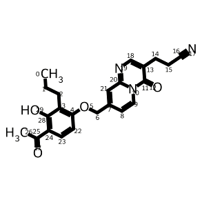 CCCc1c(OCc2ccn3c(=O)c(CCC#N)cnc3c2)ccc(C(C)=O)c1O